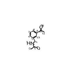 CC(=O)NCc1cccc(C(C)=O)c1